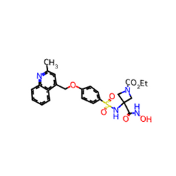 CCOC(=O)N1CC(NS(=O)(=O)c2ccc(OCc3cc(C)nc4ccccc34)cc2)(C(=O)NO)C1